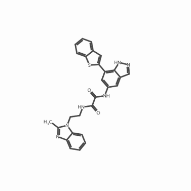 Cc1nc2ccccc2n1CCNC(=O)C(=O)Nc1cc(-c2cc3ccccc3s2)c2[nH]ncc2c1